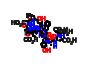 CC(C)C[C@H](NC(=O)[C@@H](N)CCC(=O)O)C(=O)N[C@@H](CC(=O)O)C(=O)N[C@@H](CC(C)C)[C@@H](O)C[C@@H](C)C(=O)NC(C(=O)N[C@@H](Cc1ccccc1)C(=O)N[C@@H](Cc1ccc(O)cc1)C(=O)N[C@@H](C)C(=O)N[C@@H](CCC(=O)O)C(=O)N[C@@H](CC(=O)O)C(=O)O)C(C)C